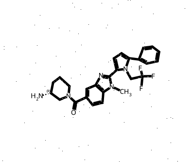 Cn1c(-c2ccc(-c3ccccc3)n2CC(F)(F)F)nc2cc(C(=O)N3CCC[C@@H](N)C3)ccc21